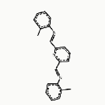 Cc1ccccc1/N=C/c1cccc(/C=N/c2ccccc2C)n1